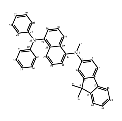 CN(c1ccc2c(c1)C(C)(C)c1ccccc1-2)c1cccc2c(N(c3ccccc3)c3ccccc3)cccc12